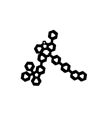 c1ccc(-c2ccc(N(c3ccc(-c4ccc(-c5ccc6ccccc6c5)cc4)cc3)c3cccc(-c4ccc5c(c4)C(c4ccccc4)(c4ccccc4)c4ccccc4-5)c3)c3c2oc2ccccc23)cc1